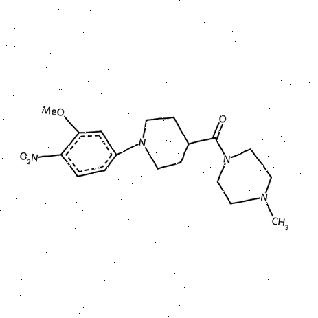 COc1cc(N2CCC(C(=O)N3CCN(C)CC3)CC2)ccc1[N+](=O)[O-]